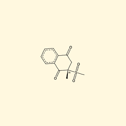 C[C@]1(S(C)(=O)=O)CC(=O)c2ccccc2C1=O